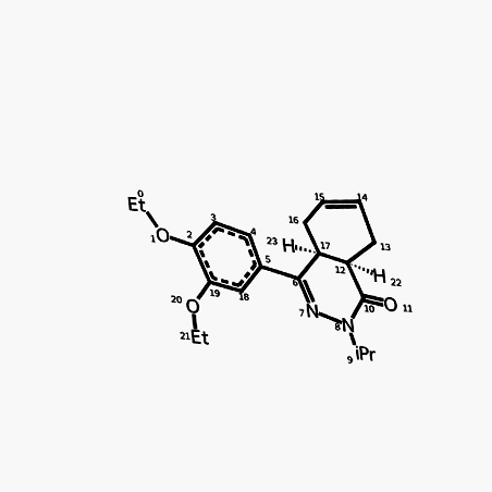 CCOc1ccc(C2=NN(C(C)C)C(=O)[C@@H]3CC=CC[C@H]23)cc1OCC